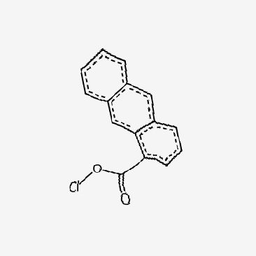 O=C(OCl)c1cccc2cc3ccccc3cc12